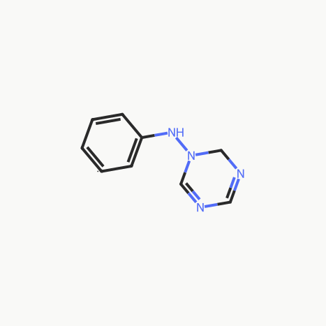 [c]1cccc(NN2C=NC=NC2)c1